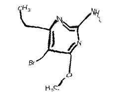 CCc1nc(N)nc(OC)c1Br